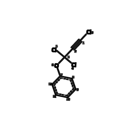 ClC#CC(Cl)(Cl)Oc1ccccc1